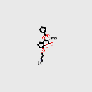 CC/C=C/CCOc1cccc2c(OC(=O)c3ccccc3)c(OC)c(=O)oc12